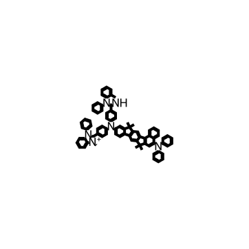 Cc1ccccc1N(C(=N)c1ccc(N(c2ccc(-c3n(-c4ccccc4)c4ccccc4[n+]3C)cc2)c2ccc3c(c2)C(C)(C)c2cc4c(cc2-3)C(C)(C)c2cc(N(c3ccccc3)c3ccccc3)c3ccccc3c2-4)cc1)c1ccccc1